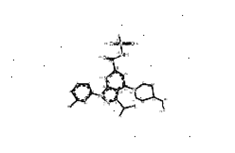 Cc1cccc(-n2nc(C(C)C)c3c(N4CCC(CF)CC4)cc(C(=O)NS(C)(=O)=O)nc32)c1